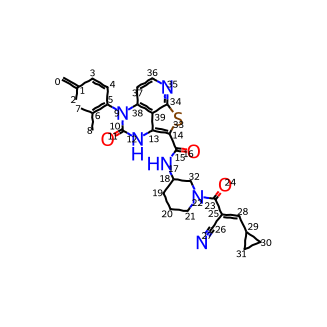 C=C(C)/C=C\C(=C(C)C)N1C(=O)Nc2c(C(=O)NC3CCCN(C(=O)/C(C#N)=C/C4CC4)C3)sc3nccc1c23